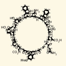 CCCC[C@H]1C(=O)N(C)[C@@H](CCCC)C(=O)N[C@@H](CCC(=O)O)C(=O)N[C@H](C(=O)NCC(N)=O)CSCC(=O)N[C@@H](Cc2ccc(OC)cc2)C(=O)N(C)[C@@H](C)C(=O)N[C@@H](CC(=O)O)C(=O)N2CCC[C@H]2C(=O)N[C@@H](Cc2cnc[nH]2)C(=O)N[C@@H](CCC(=O)O)C(=O)N2C[C@H](O)C[C@H]2C(=O)N[C@@H](Cc2c[nH]c3ccccc23)C(=O)N[C@@H](CCN)C(=O)N[C@@H](Cc2c[nH]c3ccccc23)C(=O)N1C